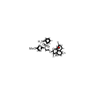 COc1cnc(N(CCO[C@H]2O[C@@H]3O[C@@]4(C)CCC5[C@H](C)CC[C@@H]([C@H]2C)[C@]53OO4)S(=O)(=O)c2ccccc2N)nc1